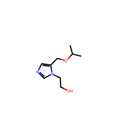 CC(C)OCc1cncn1CCO